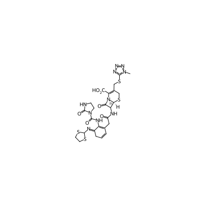 Cn1nnnc1SCC1=C(C(=O)O)N2C(=O)C(NC(=O)CC3=C(NC(=O)N4CCNC4=O)C(=NC4SCCS4)CC=C3)[C@@H]2SC1